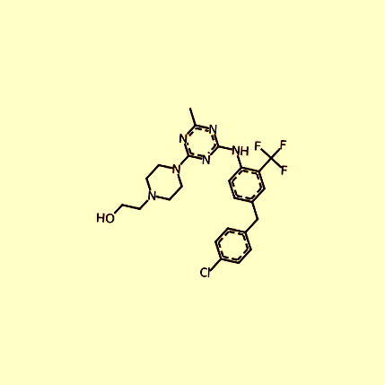 Cc1nc(Nc2ccc(Cc3ccc(Cl)cc3)cc2C(F)(F)F)nc(N2CCN(CCO)CC2)n1